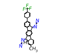 CC1=C[C@@H]2/C(=N\C#N)c3cc4c(cc3C2C=C1)/C(=N/C#N)c1cc(C2C=CC(C(F)(F)F)=CC2)ccc1-4